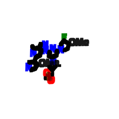 COc1ccncc1-c1cc2c(cnn2-c2cc(N3C[C@H](CS(C)(=O)=O)[C@H]3C)cc(N3CC[C@H](OC)[C@H](F)C3)n2)c(C)n1